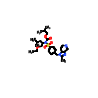 CCOCC(CC(C)C)N(C(=O)OCC(C)C)S(=O)(=O)c1ccc(Cn2c(C)nc3cnccc32)cc1